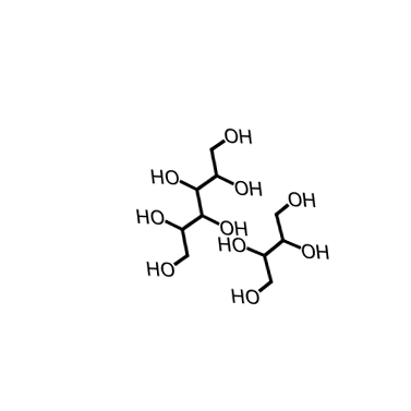 OCC(O)C(O)C(O)C(O)CO.OCC(O)C(O)CO